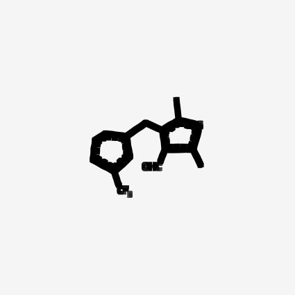 Cc1sc(C)c(Cc2cccc(C(F)(F)F)c2)c1C=O